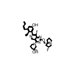 C#Cc1c(/C=C\C=C)cc(O)cc1-c1ncc2c(N3CCC[C@@](C)(O)C3)nc(OC[C@@]34CCCN3C[C@H](F)C4)nc2c1F